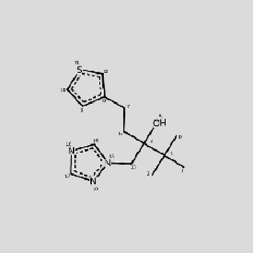 CC(C)(C)C(O)(CCc1ccsc1)Cn1cncn1